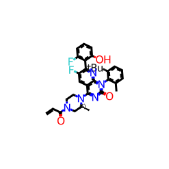 C=CC(=O)N1CCN(c2nc(=O)n(-c3c(C)cccc3C(C)(C)C)c3nc(-c4c(O)cccc4F)c(F)cc23)[C@@H](C)C1